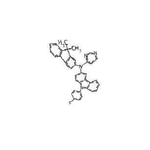 CC1(C)c2ccccc2-c2ccc(N(c3ccc4c(c3)c3ccccc3n4-c3ccc(F)cc3)c3ccncn3)cc21